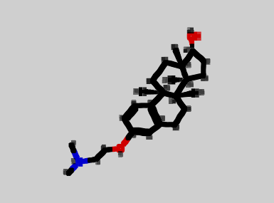 CN(C)CCOc1ccc2c(c1)CC[C@@H]1[C@@H]2CC[C@]2(C)[C@H](O)CC[C@@H]12